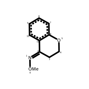 CO/N=C1\CCOc2c[c]ccc21